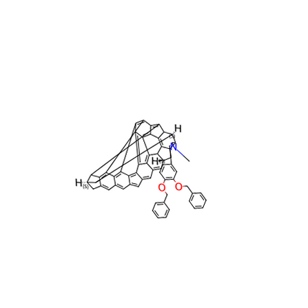 CN1CC2[C@H]3C[C@H]4Cc5cc6cc7cc8cc9c%10c%11c%12c%13c%14c%15c(c5C4C=%14C3C%13=C3C%11[C@@H](C=9)CC32C1c1ccc(OCc2ccccc2)c(OCc2ccccc2)c1)c6c1c7c8c%10c%12c%151